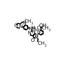 C=CCn1c(=O)c2cnc(Nc3ccc4c(c3)N(C)CC3COCCN43)nc2n1-c1cccc(C(C)(C)O)n1